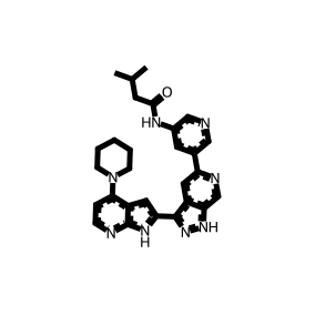 CC(C)CC(=O)Nc1cncc(-c2cc3c(-c4cc5c(N6CCCCC6)ccnc5[nH]4)n[nH]c3cn2)c1